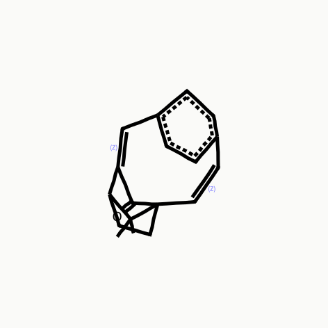 CC1(C)C2CCC13/C=C\c1ccc(cc1)/C=C/2C3=O